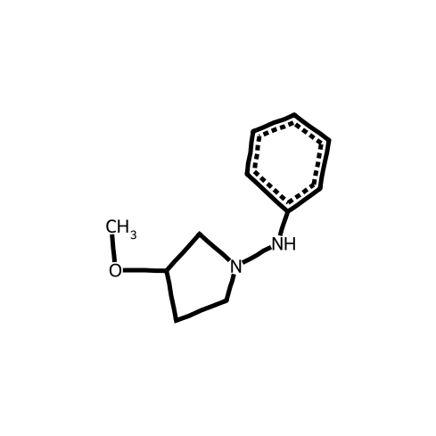 COC1CCN(Nc2ccccc2)C1